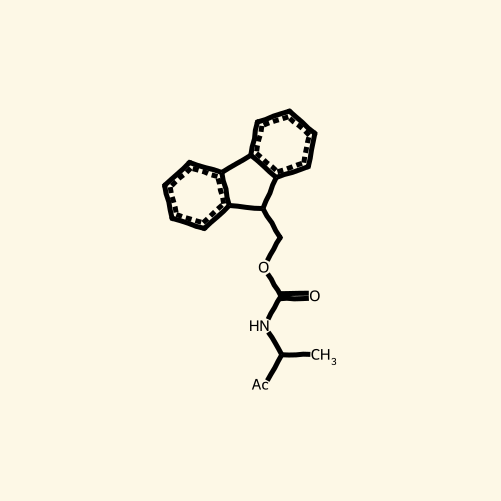 CC(=O)C(C)NC(=O)OCC1c2ccccc2-c2ccccc21